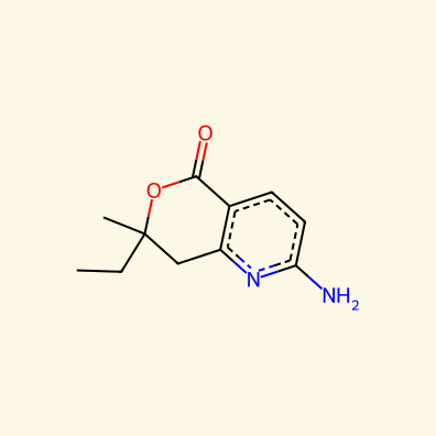 CCC1(C)Cc2nc(N)ccc2C(=O)O1